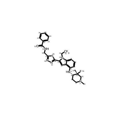 CN1CC[C@H](Nc2cccc3c2cc(-c2nnc(CNC(=O)c4ccccc4)s2)n3CC(F)(F)F)[C@](C)(F)C1